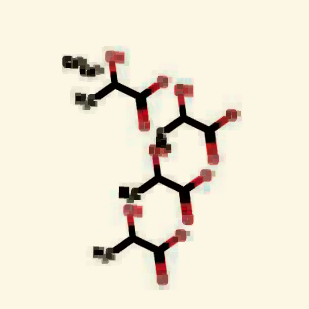 CC(O)C(=O)[O-].CC(O)C(=O)[O-].CC(O)C(=O)[O-].CC(O)C(=O)[O-].[Ca+2].[Ca+2]